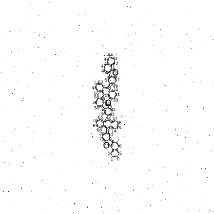 c1ccc2c(c1)ccc1c3cc(-c4c5ccccc5c(-c5ccc6oc7c(-c8c9ccccc9c(-c9ccc%10oc%11c%12ccccc%12ccc%11c%10c9)c9ccccc89)cccc7c6c5)c5ccccc45)ccc3oc21